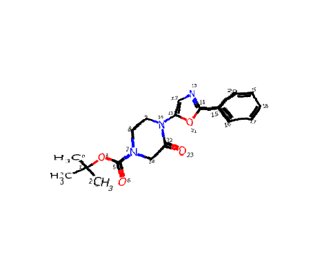 CC(C)(C)OC(=O)N1CCN(c2cnc(-c3ccccc3)o2)C(=O)C1